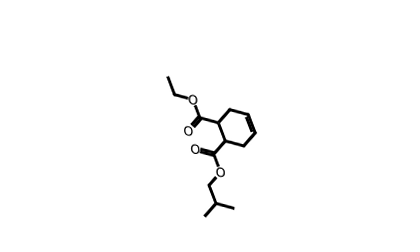 CCOC(=O)C1CC=CCC1C(=O)OCC(C)C